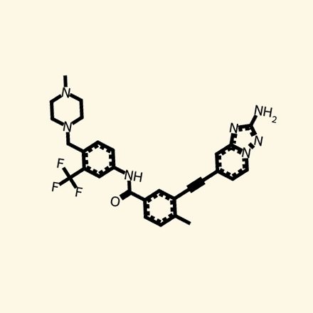 Cc1ccc(C(=O)Nc2ccc(CN3CCN(C)CC3)c(C(F)(F)F)c2)cc1C#Cc1ccn2nc(N)nc2c1